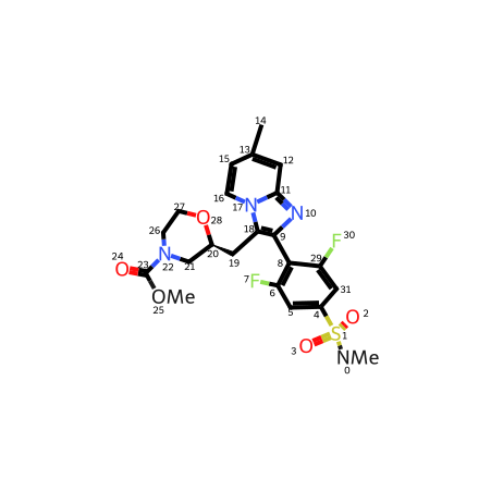 CNS(=O)(=O)c1cc(F)c(-c2nc3cc(C)ccn3c2C[C@H]2CN(C(=O)OC)CCO2)c(F)c1